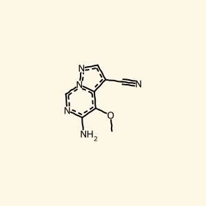 COc1c(N)ncn2ncc(C#N)c12